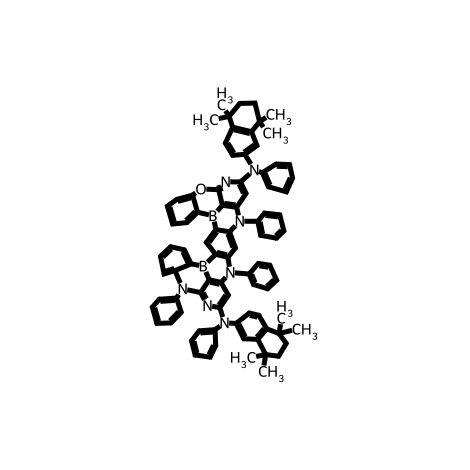 CC1(C)CCC(C)(C)c2cc(N(c3ccccc3)c3cc4c5c(n3)Oc3ccccc3B5c3cc5c(cc3N4c3ccccc3)N(c3ccccc3)c3cc(N(c4ccccc4)c4ccc6c(c4)C(C)(C)CCC6(C)C)nc4c3B5c3ccccc3N4c3ccccc3)ccc21